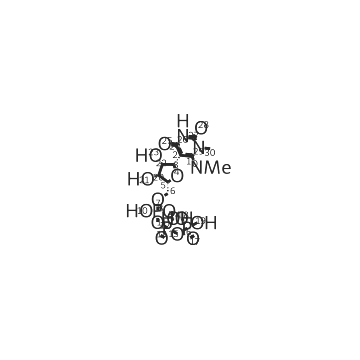 CNc1c([C@@H]2O[C@H](COP(=O)(O)OP(=O)(O)OP(=O)(O)O)[C@@H](O)[C@H]2O)c(=O)[nH]c(=O)n1C